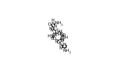 Nc1nc2c(nnn2[C@@H]2S[C@@H]3COP(=O)(S)O[C@H]4[C@H](F)[C@@H](n5cnc6c(N)ccnc65)O[C@@H]4COP(=O)(S)O[C@@H]2[C@@H]3F)c(=O)[nH]1